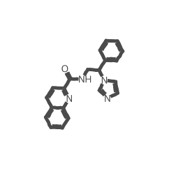 O=C(NCC(c1ccccc1)n1ccnc1)c1ccc2ccccc2n1